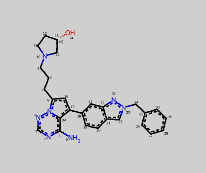 Nc1ncnn2c(CCCN3CC[C@H](O)C3)cc(-c3ccc4cn(Cc5ccccc5)nc4c3)c12